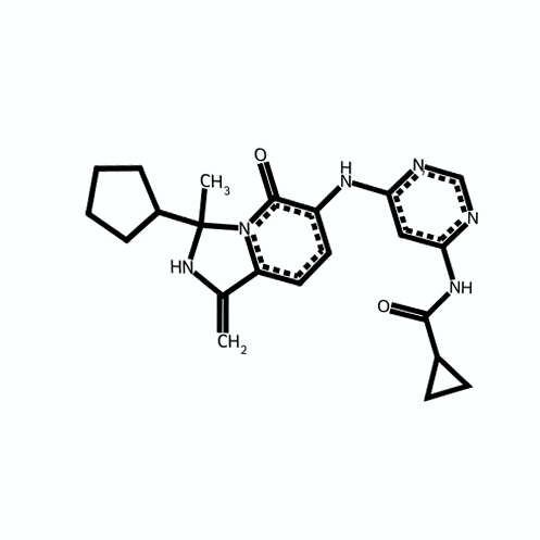 C=C1NC(C)(C2CCCC2)n2c1ccc(Nc1cc(NC(=O)C3CC3)ncn1)c2=O